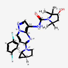 BC1(B)C[C@H](O)C(B)(B)N1C(=O)Nc1cnn2ccc(N3CC[C@H]4C[C@]43c3cc(F)ccc3F)nc12